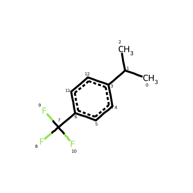 CC(C)c1[c]cc(C(F)(F)F)cc1